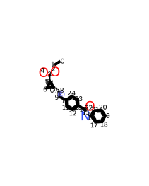 CCOC(=O)[C@@H]1C[C@H]1/C=C/c1ccc(-c2nc3ccccc3o2)cc1